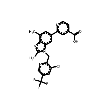 Cc1cc(-c2cc(C(=O)O)ccn2)cc2c1nc(C)n2Cc1ncc(C(F)(F)F)cc1Cl